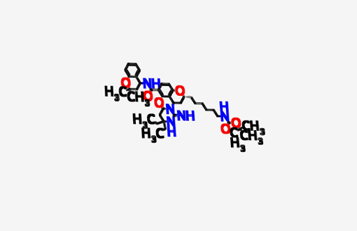 CCC1(CC)CC(=O)N([C@@H]2C[C@@H](CCCCCCNC(=O)OC(C)(C)C)Oc3ccc(C(=O)N[C@H]4CC(C)(C)Oc5ccccc54)cc32)C(=N)N1